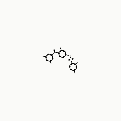 O=C(c1cc(F)cc(F)c1)c1ccc(NS(=O)(=O)c2ccc(Cl)cc2Cl)cc1Cl